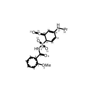 COc1ccccc1C(=O)NS(=O)(=O)C1C=CC(NC(C)C)=CC1=C=O